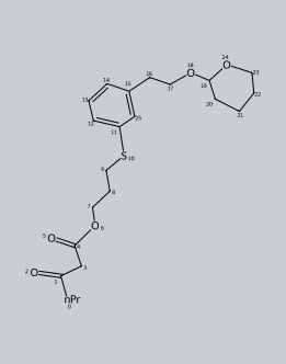 CCCC(=O)CC(=O)OCCCSc1cccc(CCOC2CCCCO2)c1